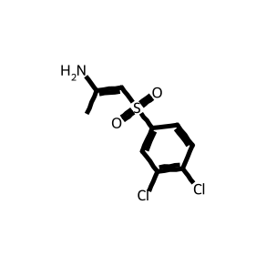 C/C(N)=C\S(=O)(=O)c1ccc(Cl)c(Cl)c1